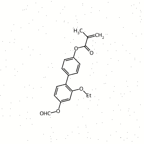 C=C(C)C(=O)Oc1ccc(-c2ccc(OC=O)cc2OCC)cc1